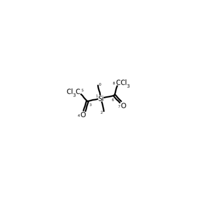 C[Si](C)(C(=O)C(Cl)(Cl)Cl)C(=O)C(Cl)(Cl)Cl